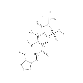 CCN1CCCC1CNC(=O)c1cc(S(=O)(=O)CC)c(C(=O)OC(C)(C)C)c(N)c1OC